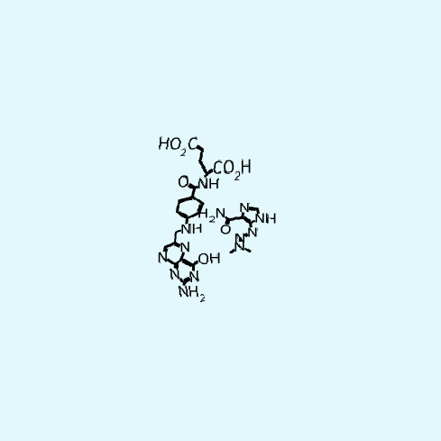 CN(C)N=Nc1[nH]cnc1C(N)=O.Nc1nc(O)c2nc(CNc3ccc(C(=O)NC(CCC(=O)O)C(=O)O)cc3)cnc2n1